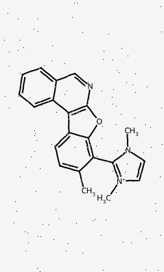 Cc1ccc2c(oc3ncc4ccccc4c32)c1-c1n(C)cc[n+]1C